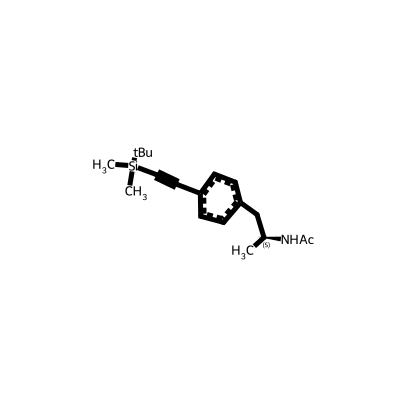 CC(=O)N[C@@H](C)Cc1ccc(C#C[Si](C)(C)C(C)(C)C)cc1